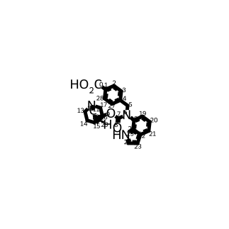 O=C(O)c1ccc(CN(C(=O)O[C@H]2CN3CCC2CC3)c2cccc3cc[nH]c23)cc1